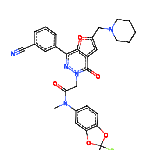 CN(C(=O)Cn1nc(-c2cccc(C#N)c2)c2oc(CN3CCCCC3)cc2c1=O)c1ccc2c(c1)OC(F)(F)O2